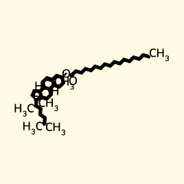 CCCCCCCCCCCCCCCCCC(=O)O[C@H]1CC[C@@]2(C)C(=CC[C@H]3[C@@H]4CC[C@H]([C@H](C)CCCC(C)C)[C@@]4(C)CC[C@@H]32)C1